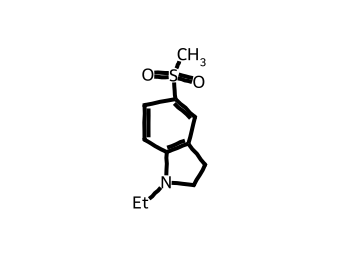 CCN1CCc2cc(S(C)(=O)=O)ccc21